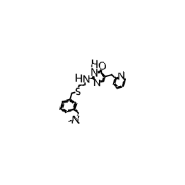 CN(C)Cc1cccc(CSCCNc2ncc(Cc3ccccn3)c(=O)[nH]2)c1